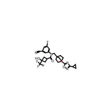 N#Cc1cc(F)cc(N(CC23CCC(c4nc(C5CC5)no4)(CC2)CC3)C(=O)C2CC(O)(C(F)(F)F)C2)c1